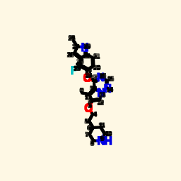 Cc1c(OCCC2CCNCC2)cn2ncnc(Oc3ccc4c(c3F)=CC(C)N=4)c12